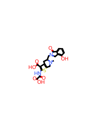 CN1Cc2sc(NC(=O)C(=O)O)c(C(=O)O)c2CC1CN1Cc2c(O)cccc2C1=O